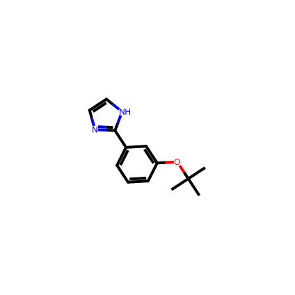 CC(C)(C)Oc1cccc(-c2ncc[nH]2)c1